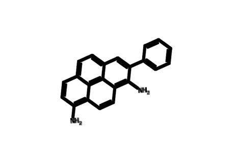 Nc1ccc2ccc3cc(-c4ccccc4)c(N)c4ccc1c2c34